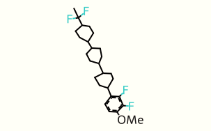 COc1ccc(C2CCC(C3CCC(C4CCC(C(C)(F)F)CC4)CC3)CC2)c(F)c1F